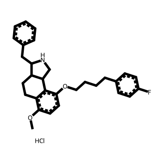 COc1ccc(OCCCCc2ccc(F)cc2)c2c1CCC1C(Cc3ccccc3)NCC21.Cl